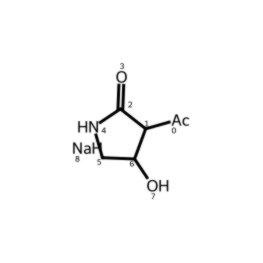 CC(=O)C1C(=O)NCC1O.[NaH]